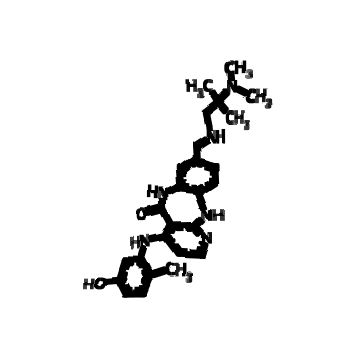 Cc1ccc(O)cc1Nc1ccnc2c1C(=O)Nc1cc(CNCC(C)(C)N(C)C)ccc1N2